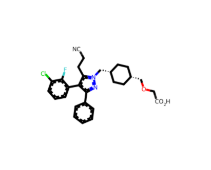 N#CCCc1c(-c2cccc(Cl)c2F)c(-c2ccccc2)nn1C[C@H]1CC[C@@H](COCC(=O)O)CC1